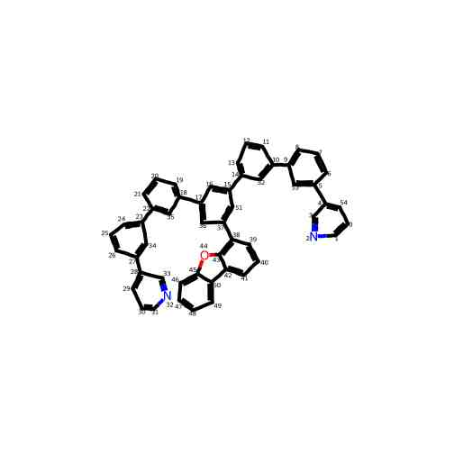 c1cncc(-c2cccc(-c3cccc(-c4cc(-c5cccc(-c6cccc(-c7cccnc7)c6)c5)cc(-c5cccc6c5oc5ccccc56)c4)c3)c2)c1